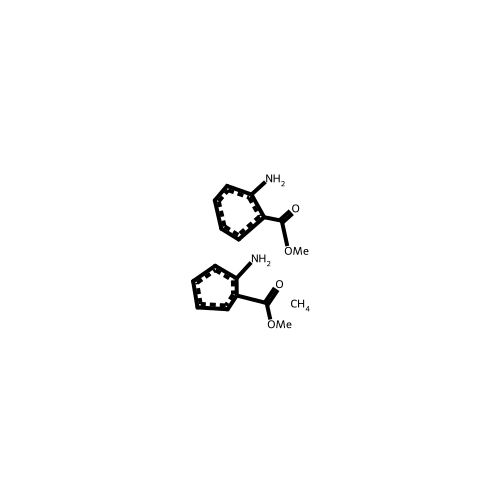 C.COC(=O)c1ccccc1N.COC(=O)c1ccccc1N